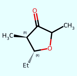 CC[C@H]1OC(C)C(=O)[C@@H]1C